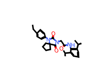 CCc1ccc(N2C(=O)N(CC(=O)Nc3c(C(C)C)cccc3C(C)C)C(=O)C23CCCC3)cc1